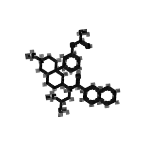 CC(=O)Oc1cccc(C23CCN(C)CC2CCC(N(CC(C)C)C(=O)c2ccc4ccccc4c2)C3)c1